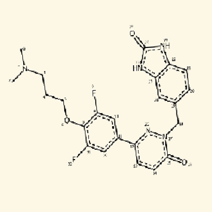 CN(C)CCCOc1c(F)cc(-c2ccc(=O)n(Cc3ccc4[nH]c(=O)[nH]c4c3)n2)cc1F